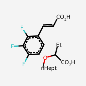 CCCCCCCOC(CC)C(=O)O.O=C(O)C=Cc1ccc(F)c(F)c1F